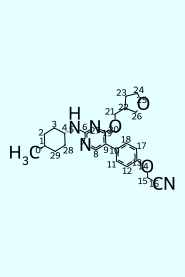 C[C@H]1CC[C@H](Nc2ncc(-c3ccc(OCC#N)cc3)c(OCC3CCOC3)n2)CC1